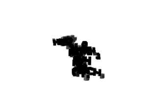 CCn1nc(C)cc1-c1nnc(-c2cc(C(N)=O)cc3c2cnn3CC[C@@H]2CCCNC2)[nH]1